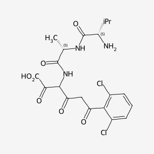 CC(C)[C@H](N)C(=O)N[C@@H](C)C(=O)NC(C(=O)CC(=O)c1c(Cl)cccc1Cl)C(=O)C(=O)O